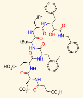 Cc1ccccc1C[C@H](NC(=O)[C@H](CCC(=O)O)NC(=O)[C@H](CC(=O)O)NC(=O)CCC(=O)O)C(=O)N[C@H](C(=O)N[C@@H](CC(C)C)C(=O)NC(Cc1ccccc1)C(O)C(=O)NCc1ccccc1)C(C)(C)C